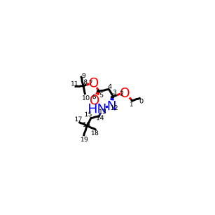 CCOC(CC(=O)OC(C)(C)C)=NNCCC(C)(C)C